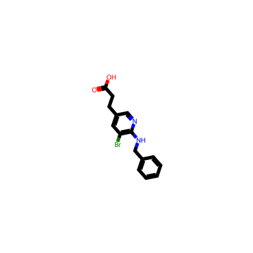 O=C(O)CCc1cnc(NCc2ccccc2)c(Br)c1